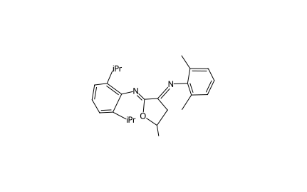 Cc1cccc(C)c1N=C1CC(C)OC1=Nc1c(C(C)C)cccc1C(C)C